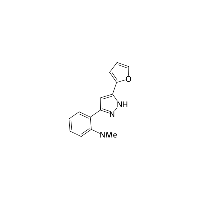 CNc1ccccc1-c1cc(-c2ccco2)[nH]n1